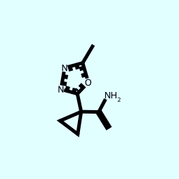 C=C(N)C1(c2nnc(C)o2)CC1